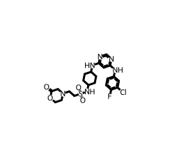 O=C1CN(CCS(=O)(=O)NC2CCC(Nc3cc(Nc4ccc(F)c(Cl)c4)ncn3)CC2)CCO1